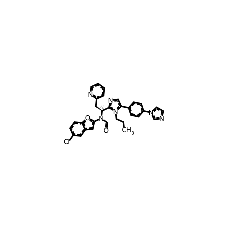 CCCn1c(-c2ccc(-n3ccnc3)cc2)cnc1[C@H](Cc1ccccn1)N(C=O)c1cc2cc(Cl)ccc2o1